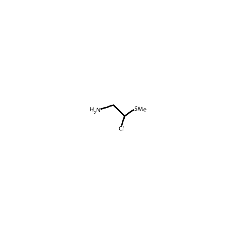 CSC(Cl)CN